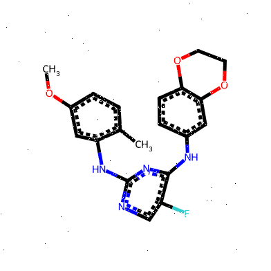 COc1ccc(C)c(Nc2ncc(F)c(Nc3ccc4c(c3)OCCO4)n2)c1